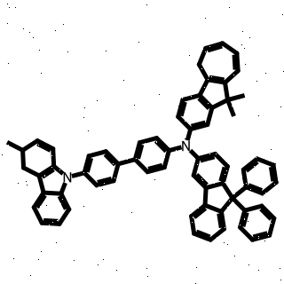 CC1C=Cc2c(c3ccccc3n2-c2ccc(-c3ccc(N(c4ccc5c(c4)-c4ccccc4C5(c4ccccc4)c4ccccc4)c4ccc5c(c4)C(C)(C)C4=C5CC=CC=C4)cc3)cc2)C1